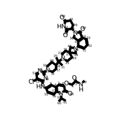 CNC(=O)COc1cc2cc(Nc3nc(N4CCC(C(C)(C)N5CCC6(CC5)CN(c5cccc7c5CN(C5CCC(=O)NC5=O)C7=O)C6)CC4)ncc3Cl)ccc2n(C(C)C)c1=O